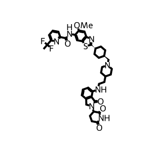 COc1cc2nc([C@H]3CC[C@H](CN4CCC(CCNc5cccc6c5C(=O)N(C5CCC(=O)NC5=O)C6)CC4)CC3)sc2cc1NC(=O)c1cccc(C(C)(F)F)n1